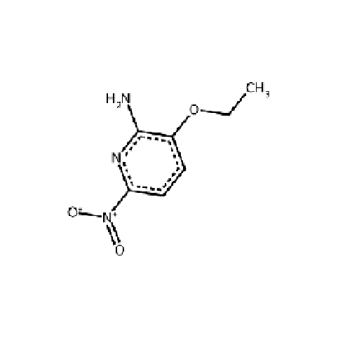 CCOc1ccc([N+](=O)[O-])nc1N